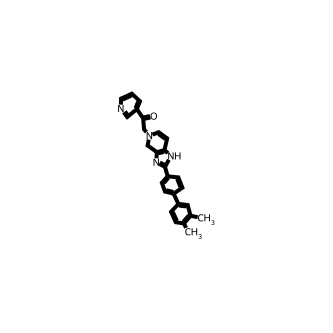 Cc1ccc(-c2ccc(-c3nc4c([nH]3)C=CN(CC(=O)c3cccnc3)C4)cc2)cc1C